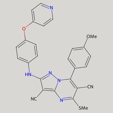 COc1ccc(-c2c(C#N)c(SC)nc3c(C#N)c(Nc4ccc(Oc5ccncc5)cc4)nn23)cc1